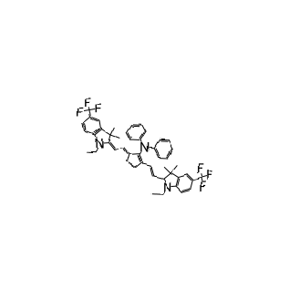 CCN1/C(=C/C=C2\CCC(/C=C/C3N(CC)c4ccc(C(F)(F)F)cc4C3(C)C)=C2N(c2ccccc2)c2ccccc2)C(C)(C)c2cc(C(F)(F)F)ccc21